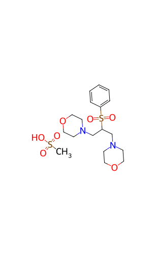 CS(=O)(=O)O.O=S(=O)(c1ccccc1)C(CN1CCOCC1)CN1CCOCC1